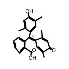 CC1=C/C(=C(/c2cc(C)c(O)cc2C)c2ccccc2C(=O)O)C(C)=CC1=O